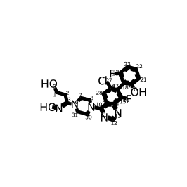 OCC/C(=N\O)N1CCN(c2ncnc3c(F)c(-c4c(O)cccc4F)c(Cl)cc23)CC1